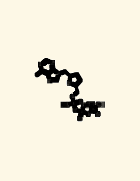 Cc1ncnc2c1ncn2C[C@H]1CC[C@@H](COP(=O)(O)OP(=O)(O)OP(=O)(O)O)O1